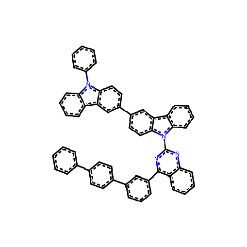 c1ccc(-c2ccc(-c3cccc(-c4nc(-n5c6ccccc6c6cc(-c7ccc8c(c7)c7ccccc7n8-c7ccccc7)ccc65)nc5ccccc45)c3)cc2)cc1